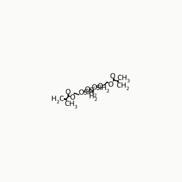 C=C(C)C(=O)OCCO[SiH2]O[SiH2]O[SiH2]OCCOC(=O)C(=C)C